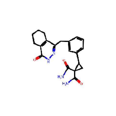 NC(=O)C1(C(N)=O)CC1c1cccc(Cc2n[nH]c(=O)c3c2CCCC3)c1